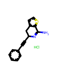 Cl.NC1=NC(C#Cc2ccccc2)Cc2ccsc21